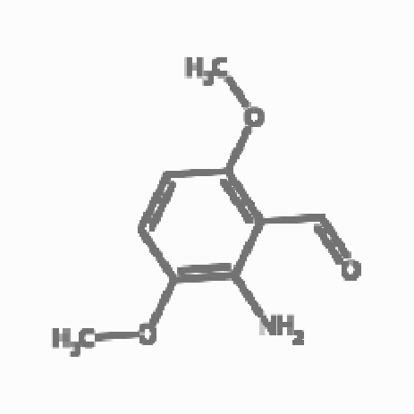 COc1ccc(OC)c(C=O)c1N